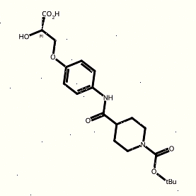 CC(C)(C)OC(=O)N1CCC(C(=O)Nc2ccc(OC[C@@H](O)C(=O)O)cc2)CC1